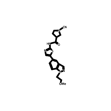 COCCn1ncc2cc(-c3cnc(NC(=O)C4CCN(C#N)C4)s3)ccc21